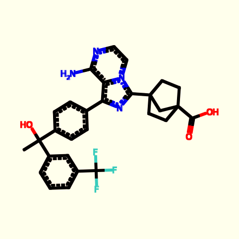 CC(O)(c1ccc(-c2nc(C34CCC(C(=O)O)(CC3)C4)n3ccnc(N)c23)cc1)c1cccc(C(F)(F)F)c1